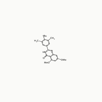 COc1cc(OC)c2c(=O)[nH]c(-c3cc(C)c(C(C)(C)C)c(C)c3)nc2c1